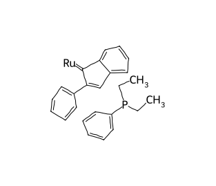 CCP(CC)c1ccccc1.[Ru]=[C]1C(c2ccccc2)=Cc2ccccc21